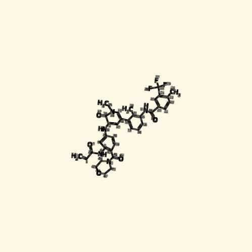 C=CC(=O)Nc1cc(Nc2cc(-c3cccc(NC(=O)c4ccc(C)c(C(F)(F)F)c4)c3C)cn(C)c2=O)ccc1C(=O)N1CCOCC1